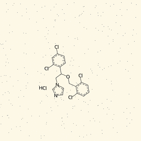 Cl.Clc1ccc(C(Cn2ccnc2)OCc2c(Cl)cccc2Cl)c(Cl)c1